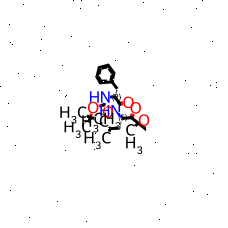 CC(C)C[C@H](NC(=O)[C@@H](Cc1ccccc1)NC(=O)OC(C)(C)C)C(=O)C1(C)CO1